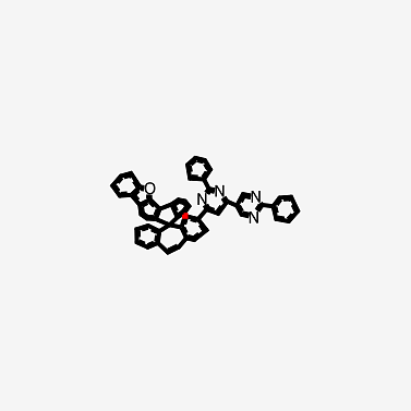 C1=Cc2ccc(-c3cc(-c4cnc(-c5ccccc5)nc4)nc(-c4ccccc4)n3)cc2C2(c3ccccc31)c1ccccc1-c1c2ccc2c1oc1ccccc12